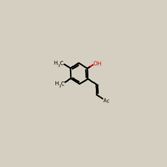 CC(=O)C=Cc1cc(C)c(C)cc1O